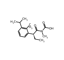 CC[C@H](C(=O)N(C)C(=O)O)c1cccc(C(C)C)c1C